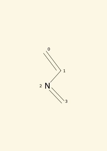 C=CN=C